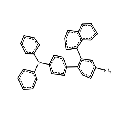 Nc1ccc(-c2ccc(N(c3ccccc3)c3ccccc3)cc2)c(-c2cccc3ccccc23)c1